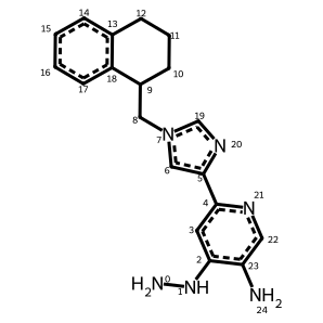 NNc1cc(-c2cn(CC3CCCc4ccccc43)cn2)ncc1N